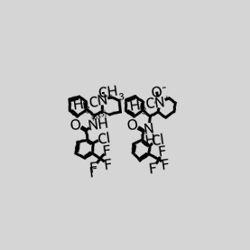 C[N+]1(C)CCCC[C@H]1[C@@H](NC(=O)c1cccc(C(F)(F)F)c1Cl)c1ccccc1.C[N+]1([O-])CCCCC1C(NC(=O)c1cccc(C(F)(F)F)c1Cl)c1ccccc1.[I-]